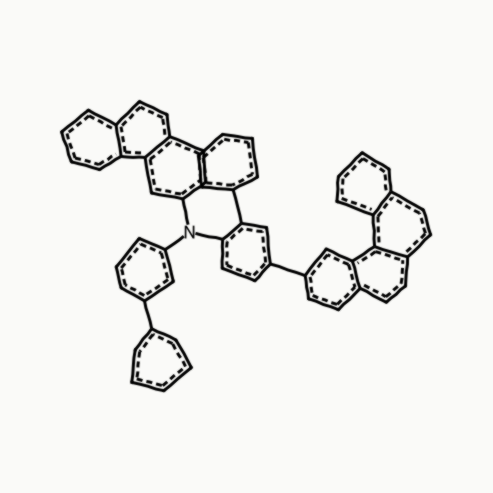 c1ccc(-c2cccc(N(c3ccc4ccc5ccccc5c4c3)c3ccc(-c4ccc5ccc6ccc7ccccc7c6c5c4)cc3-c3ccccc3)c2)cc1